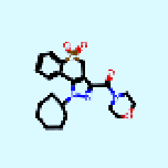 O=C(c1nn(C2CCCCCC2)c2c1CS(=O)(=O)c1ccccc1-2)N1CCOCC1